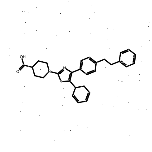 O=C(O)C1CCN(c2nc(-c3ccc(CCc4ccccc4)cc3)c(C3C=CC=CC3)s2)CC1